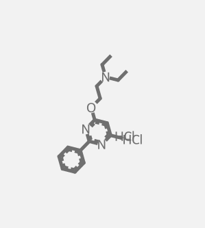 CCN(CC)CCOc1cc(C)nc(-c2ccccc2)n1.Cl.Cl